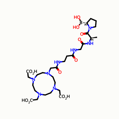 C[C@@H](NC(=O)CNC(=O)CCNC(=O)CN1CCN(CC(=O)O)CCN(CC(=O)O)CCN(CC(=O)O)CC1)C(=O)N1CCC[C@H]1B(O)O